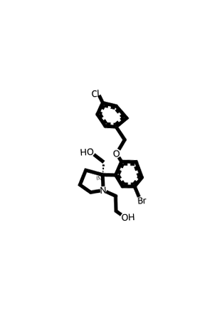 OCCN1CCC[C@@]1(CO)c1cc(Br)ccc1OCc1ccc(Cl)cc1